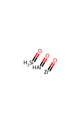 O=[SiH2].[O]=[AlH].[O]=[Zr]